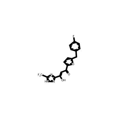 O=C(C=C(O)c1n[nH]c(C(F)(F)F)n1)c1ccc(Cc2ccc(F)cc2)o1